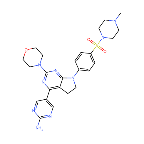 CN1CCN(S(=O)(=O)c2ccc(N3CCc4c(-c5cnc(N)nc5)nc(N5CCOCC5)nc43)cc2)CC1